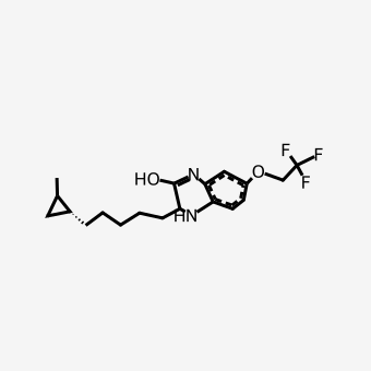 CC1C[C@H]1CCCCCC1Nc2ccc(OCC(F)(F)F)cc2N=C1O